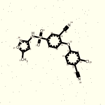 Cc1cc(NS(=O)(=O)c2ccc(Oc3ccc(C#N)c(Cl)c3)c(C#N)c2)no1